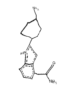 NC(=O)c1cccc2[nH]c(C3CCC(N)CC3)cc12